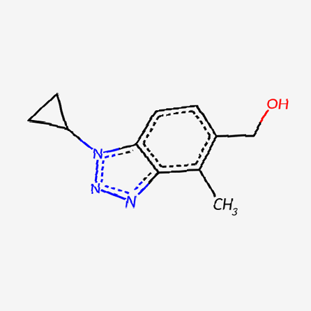 Cc1c(CO)ccc2c1nnn2C1CC1